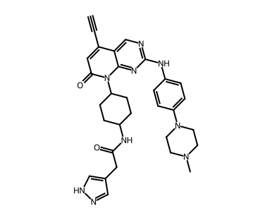 C#Cc1cc(=O)n(C2CCC(NC(=O)Cc3cn[nH]c3)CC2)c2nc(Nc3ccc(N4CCN(C)CC4)cc3)ncc12